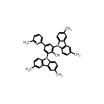 Cc1ccc2c(c1)c1cc(C)ccc1n2-c1cc(-c2cccc(C)n2)cc(-n2c3ccc(C)cc3c3cc(C)ccc32)c1C#N